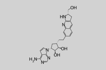 Nc1ncnc2c1ccn2[C@@H]1C[C@H](CCc2ccc3cc4c(nc3c2)N[C@H](CO)C4)[C@@H](O)[C@H]1O